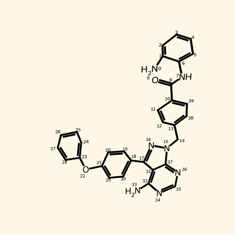 Nc1ccccc1NC(=O)c1ccc(Cn2nc(-c3ccc(Oc4ccccc4)cc3)c3c(N)ncnc32)cc1